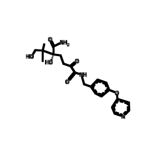 CC(C)(CO)[C@](O)(CCC(=O)C(=O)NCc1ccc(Oc2ccncc2)cc1)C(N)=O